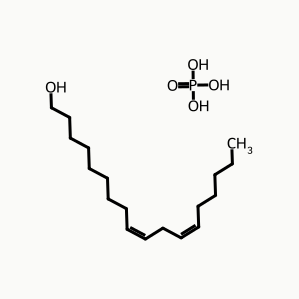 CCCCC/C=C\C/C=C\CCCCCCCCO.O=P(O)(O)O